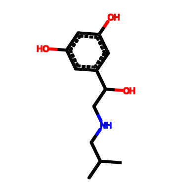 CC(C)CNCC(O)c1cc(O)cc(O)c1